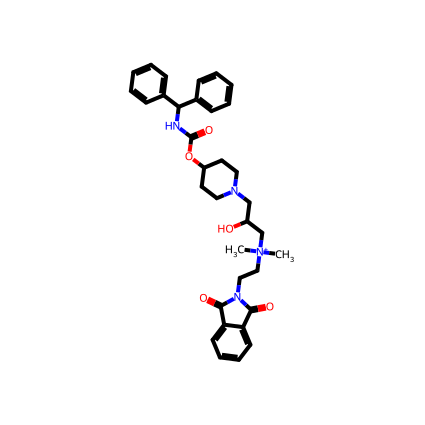 C[N+](C)(CCN1C(=O)c2ccccc2C1=O)CC(O)CN1CCC(OC(=O)NC(c2ccccc2)c2ccccc2)CC1